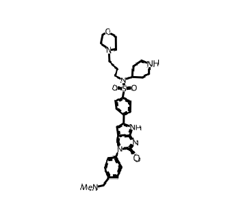 CNCc1ccc(-n2cc3cc(-c4ccc(S(=O)(=O)N(CCCN5CCOCC5)C5CCNCC5)cc4)[nH]c3nc2=O)cc1